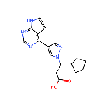 O=C(O)CC(C1CCCC1)n1cc(-c2ncnc3[nH]ccc23)cn1